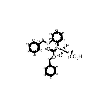 CC(=O)O.CS(=O)(=O)N(C(=O)OCc1ccccc1)c1ccccc1OCc1ccccc1